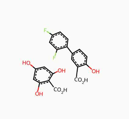 O=C(O)c1c(O)cc(O)cc1O.O=C(O)c1cc(-c2ccc(F)cc2F)ccc1O